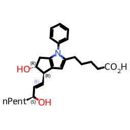 CCCCC[C@H](O)/C=C/[C@@H]1c2cc(CCCCC(=O)O)n(-c3ccccc3)c2C[C@H]1O